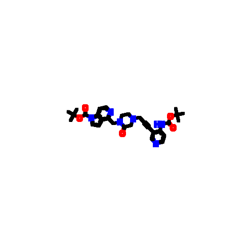 CC(C)(C)OC(=O)Nc1ccncc1C#CCN1CCN(Cc2nccc3c2ccn3C(=O)OC(C)(C)C)C(=O)C1